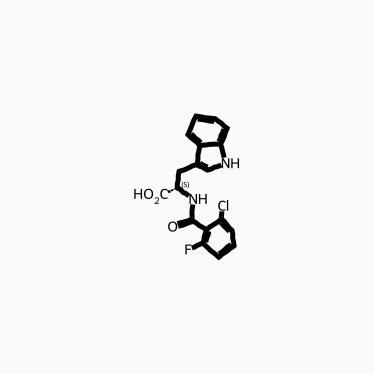 O=C(N[C@@H](Cc1c[nH]c2ccccc12)C(=O)O)c1c(F)cccc1Cl